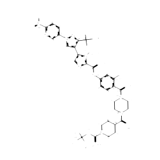 Cn1c(-c2cn(-c3ccc([N+](=O)[O-])nc3)nc2C(F)(F)F)cnc1C(=O)Nc1ccc(C(=O)N2CCN(C(=O)C3CCN(C(=O)OC(C)(C)C)CC3)CC2)c(Cl)c1